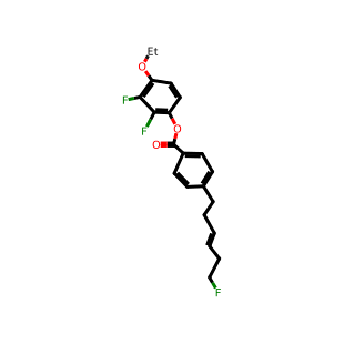 CCOc1ccc(OC(=O)c2ccc(CC/C=C/CCF)cc2)c(F)c1F